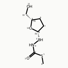 CSC(=O)NB[C@H]1CC[C@@H](CO)O1